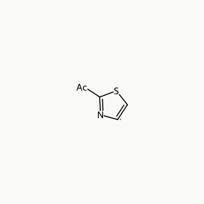 CC(=O)c1n[c]cs1